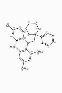 COc1cc(OC)c(C(CC2(c3ccccc3)CCCC[Se]2)c2ccc(Cl)cc2)c(OC)c1